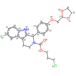 O=C(OCCCCl)N1CCc2c([nH]c3ccc(Cl)cc23)C1c1ccc(OCC2OCCO2)cc1